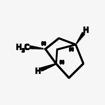 C[C@@H]1C[C@H]2CC[C@H]1C2